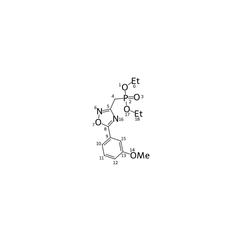 CCOP(=O)(Cc1noc(-c2cccc(OC)c2)n1)OCC